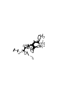 C=C(C)C(=O)NNC(CC(C)C)C(=O)O